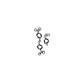 Cc1ccc(SS)cc1.O=[N+]([O-])c1ccc(SSc2ccc([N+](=O)[O-])cc2)cc1